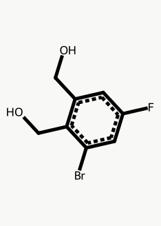 OCc1cc(F)cc(Br)c1CO